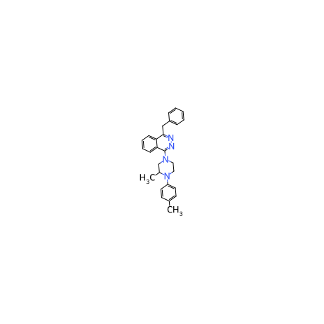 Cc1ccc(N2CCN(c3nnc(Cc4ccccc4)c4ccccc34)CC2C)cc1